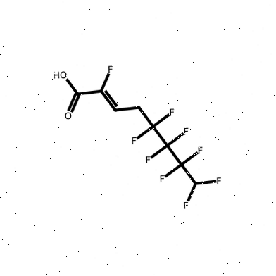 O=C(O)C(F)=CCC(F)(F)C(F)(F)C(F)(F)C(F)F